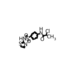 CC(Cl)C(=O)Nc1ccc(S(=O)(=O)Nc2nccs2)cc1